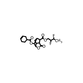 CC(F)C(F)COC(=O)C1C2CC3C(OC(=O)C31)C2OC(=O)C1CC=CCC1